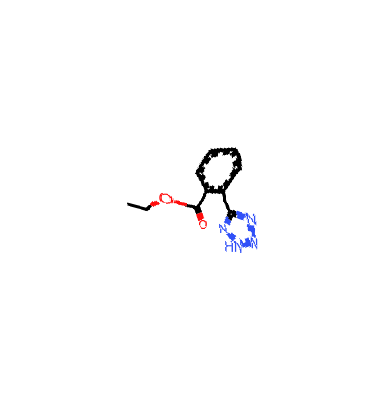 CCOC(=O)c1ccccc1-c1nn[nH]n1